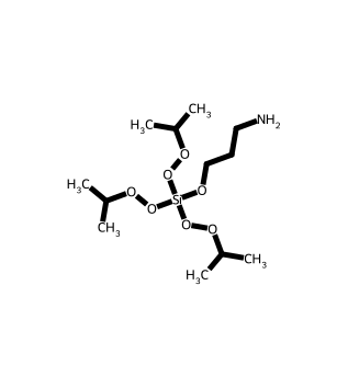 CC(C)OO[Si](OCCCN)(OOC(C)C)OOC(C)C